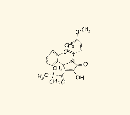 COc1ccc(N2C(=O)C(O)=C(C(=O)C(C)(C)C)C2c2ccccc2OC)cc1